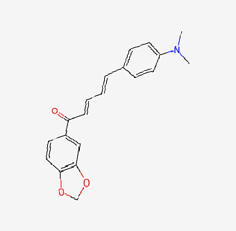 CN(C)c1ccc(/C=C/C=C/C(=O)c2ccc3c(c2)OCO3)cc1